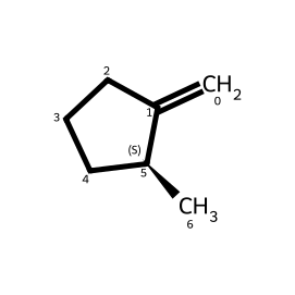 C=C1CCC[C@@H]1C